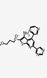 COCCC[S@@+]([O-])c1sc2nc(-c3cncnc3)cc(-c3cnccn3)c2c1N